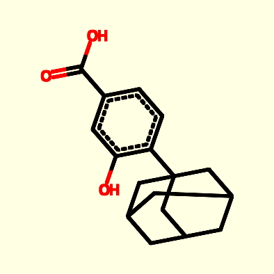 O=C(O)c1ccc(C23CC4CC(CC(C4)C2)C3)c(O)c1